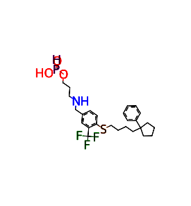 O=[PH](O)OCCCNCc1ccc(SCCCCC2(c3ccccc3)CCCC2)c(C(F)(F)F)c1